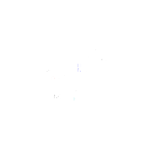 CC(C)Oc1cc(NCc2ccccc2)cc(F)c1C#N